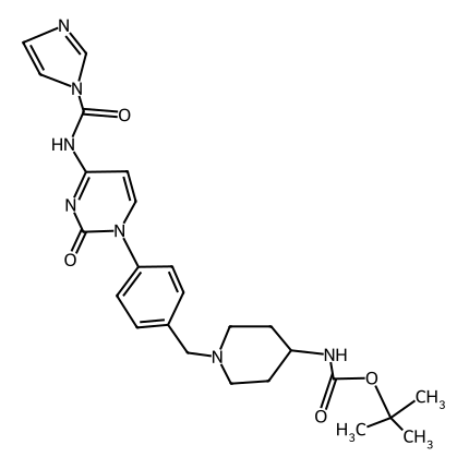 CC(C)(C)OC(=O)NC1CCN(Cc2ccc(-n3ccc(NC(=O)n4ccnc4)nc3=O)cc2)CC1